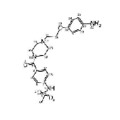 CS(=O)(=O)Nc1ccc(C(=O)N2CCN(CCOc3ccc(N)cc3)CC2)cc1